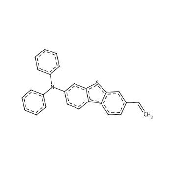 C=Cc1ccc2c(c1)sc1cc(N(c3ccccc3)c3ccccc3)ccc12